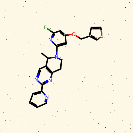 CC1c2cnc(-c3ccccn3)nc2CCN1c1cc(OCc2ccsc2)cc(F)n1